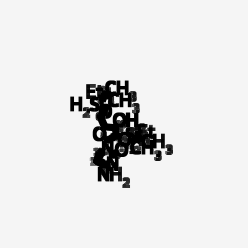 CCC(C)(C)[SiH2]OCC1OC(n2ccc(N)nc2=O)C(O[SiH2]C(C)(C)CC)C1O